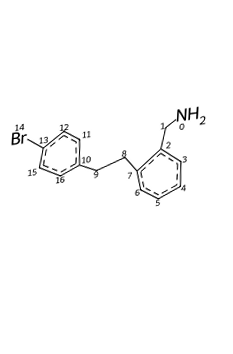 NCc1ccccc1CCc1ccc(Br)cc1